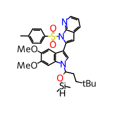 COc1cc2c(-c3cc4cccnc4n3S(=O)(=O)c3ccc(C)cc3)cn(C(CCC(C)(C)C)O[SiH](C)C)c2cc1OC